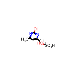 Cc1cc(C)nc(O)n1.O=S(=O)(O)O